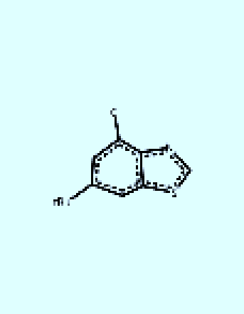 CC(C)(C)c1cc(Cl)c2ncsc2c1